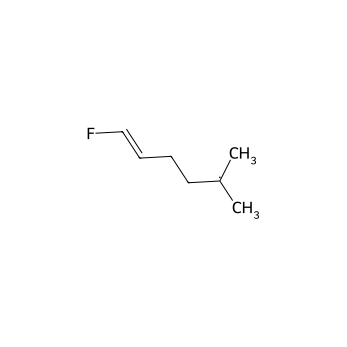 C[C](C)CCC=CF